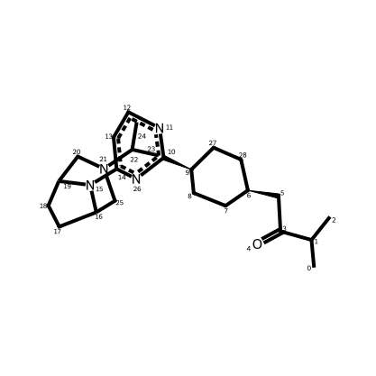 CC(C)C(=O)C[C@H]1CC[C@@H](c2nccc(N3C4CCC3CN(C(C)C)C4)n2)CC1